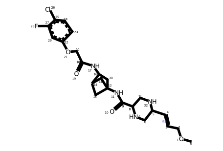 COC/C=C/C1CNC(C(=O)NC23CC(C2)C(NC(=O)COc2ccc(Cl)c(F)c2)C3)CN1